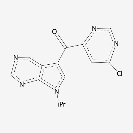 CC(C)n1cc(C(=O)c2cc(Cl)ncn2)c2cncnc21